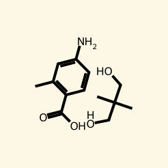 CC(C)(CO)CO.Cc1cc(N)ccc1C(=O)O